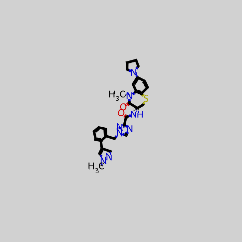 CN1C(=O)[C@@H](NC(=O)c2ncn(Cc3ccccc3-c3cnn(C)c3)n2)CSc2ccc(N3CCCC3)cc21